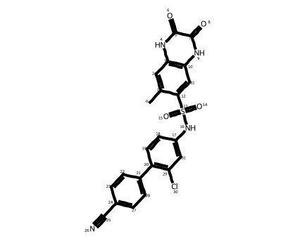 Cc1cc2[nH]c(=O)c(=O)[nH]c2cc1S(=O)(=O)Nc1ccc(-c2ccc(C#N)cc2)c(Cl)c1